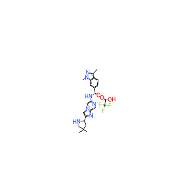 Cc1nn(C)c2cc(C(=O)Nc3cn4cc(C5CC(C)(C)CN5)nc4cn3)ccc12.O=C(O)C(F)(F)F